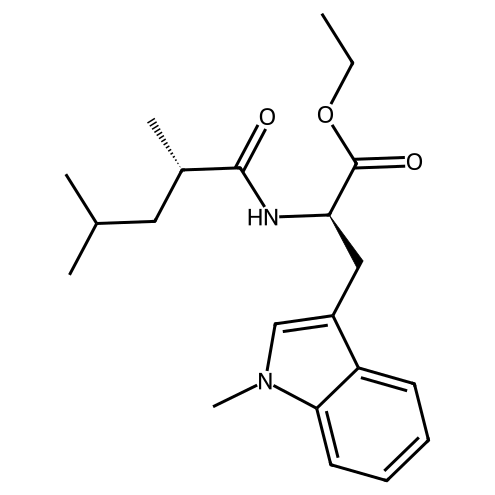 CCOC(=O)[C@@H](Cc1cn(C)c2ccccc12)NC(=O)[C@@H](C)CC(C)C